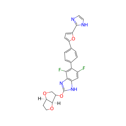 Fc1cc2[nH]c(OC3CO[C@@H]4CCO[C@H]34)nc2c(F)c1-c1ccc(-c2ccc(-c3ncc[nH]3)o2)cc1